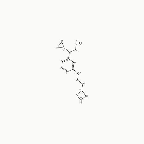 O=C(O)CC(c1cccc(OCCC2CNC2)c1)C1CC1